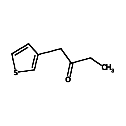 CCC(=O)Cc1ccsc1